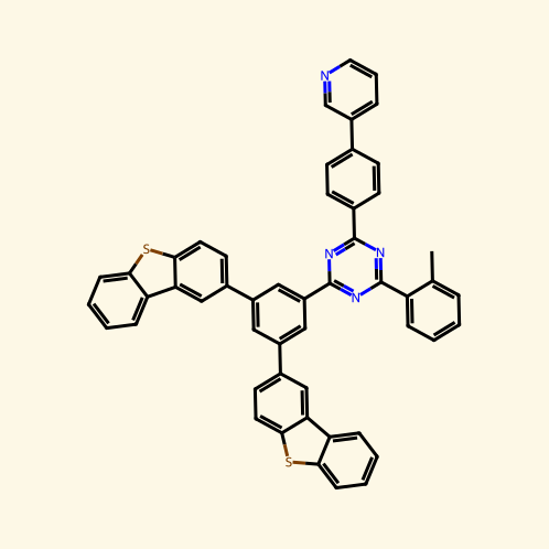 Cc1ccccc1-c1nc(-c2ccc(-c3cccnc3)cc2)nc(-c2cc(-c3ccc4sc5ccccc5c4c3)cc(-c3ccc4sc5ccccc5c4c3)c2)n1